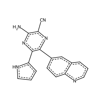 N#Cc1nc(-c2ccc3ncccc3c2)c(-c2ccc[nH]2)nc1N